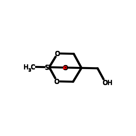 C[Si]12OCC(CO)(CO1)CO2